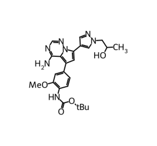 COc1cc(-c2cc(-c3cnn(CC(C)O)c3)n3ncnc(N)c23)ccc1NC(=O)OC(C)(C)C